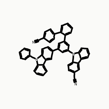 N#Cc1ccc(-c2ccccc2-c2cc(-c3ccc4c(c3)c3ccccc3n4-c3ccccc3)cc(-n3c4ccccc4c4cc(C#N)ccc43)c2)cc1